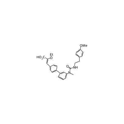 CCOC(=Cc1ccc(-c2cccc(N(C)C(=O)NCCc3ccc(OC)cc3)c2)cc1)C(=O)O